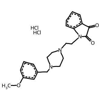 COc1cccc(CN2CCN(CCN3C(=O)C(=O)c4ccccc43)CC2)c1.Cl.Cl